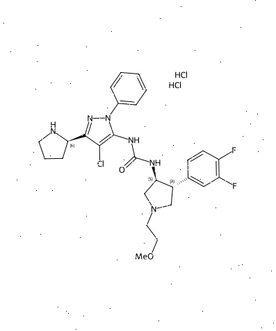 COCCN1C[C@@H](NC(=O)Nc2c(Cl)c([C@H]3CCCN3)nn2-c2ccccc2)[C@H](c2ccc(F)c(F)c2)C1.Cl.Cl